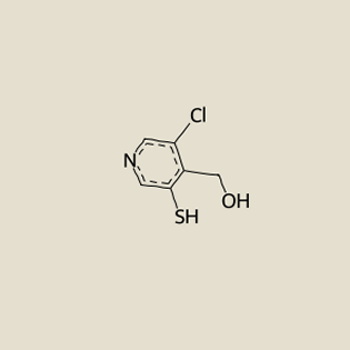 OCc1c(S)cncc1Cl